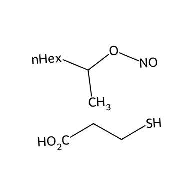 CCCCCCC(C)ON=O.O=C(O)CCS